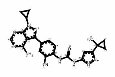 N#Cc1cc(-c2nn(C3CC3)c3ncnc(N)c23)ccc1NC(=O)Nc1cc(C2(C(F)(F)F)CC2)no1